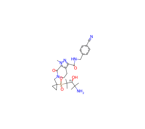 Cn1nc(C(=O)NCc2ccc(C#N)cc2)c2c1C(=O)N(CC1(S(=O)(=O)C(C)(C)[C@@H](O)C(C)(C)N)CC1)CC2